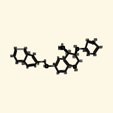 O[C@@H]1c2cc(OCc3ccc4ccccc4c3)ccc2OC[C@@H]1Oc1cccnc1